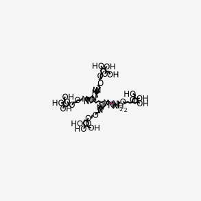 CC(CCCCN(C/C(N)=C/N(N)CCOCCCC1CC(O)C(O)C(CO)O1)Cc1cn(CCOCCOC2CC(O)C(O)C(CO)O2)nn1)N(Cc1cn(CCOCCOC2CC(O)C(O)C(CO)O2)nn1)Cc1cn(CCOCCOC2CC(O)C(O)C(CO)O2)nn1